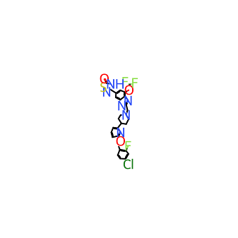 Cn1c(CN2CCC(c3cccc(OCc4ccc(Cl)cc4F)n3)CC2)nc2c(OC(F)F)cc(-c3nsc(=O)[nH]3)cc21